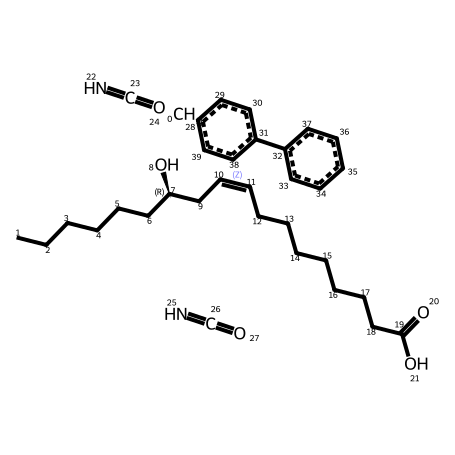 C.CCCCCC[C@@H](O)C/C=C\CCCCCCCC(=O)O.N=C=O.N=C=O.c1ccc(-c2ccccc2)cc1